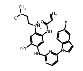 C=CC(=O)Nc1cc(Nc2nccc(-n3ccc4cc(F)ccc43)n2)c(CCC)cc1N(C)CCN(C)C